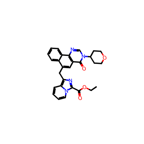 CCOC(=O)c1nc(Cc2cc3c(=O)n(C4CCOCC4)cnc3c3ccccc23)c2ccccn12